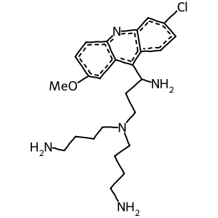 COc1ccc2nc3cc(Cl)ccc3c(C(N)CCN(CCCCN)CCCCN)c2c1